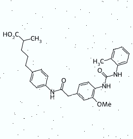 COc1cc(CC(=O)Nc2ccc(CCCC(C)C(=O)O)cc2)ccc1NC(=O)Nc1ccccc1C